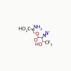 [N-]=[N+]=C(C(=O)OC[C@H](N)C(=O)O)C(O)C(F)(F)F